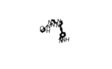 C(#Cc1ccnc(-c2ccnc(NC[C@@H]3CCCO3)n2)n1)c1ccc2[nH]ncc2c1